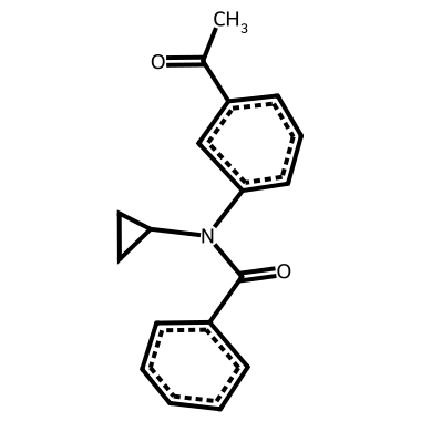 CC(=O)c1cccc(N(C(=O)c2ccccc2)C2CC2)c1